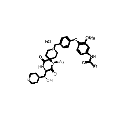 CCCCN1C(=O)[C@@H]([C@H](O)C2CCOCC2)NC(=O)C12CCN(Cc1ccc(Oc3ccc(NC(=O)C(C)C)cc3OC)cc1)CC2.Cl